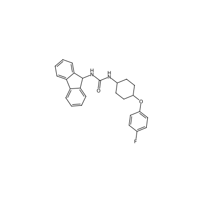 O=C(NC1CCC(Oc2ccc(F)cc2)CC1)NC1c2ccccc2-c2ccccc21